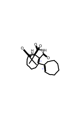 O=C1NC(=O)C23C(=O)NC(=O)C2CCCCC(/C2=C/CCCCCC2)=C/13